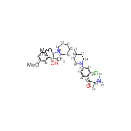 COc1cccc(C(O)(C(OC)N2CCCC(CC3CCN(c4ccc(C5OCC5N(C)C)c(Cl)c4)CC3)CC2)C(F)(F)F)c1